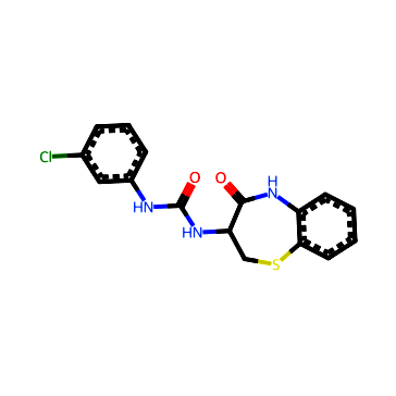 O=C(Nc1cccc(Cl)c1)NC1CSc2ccccc2NC1=O